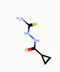 NC(=S)NNC(=O)C1CC1